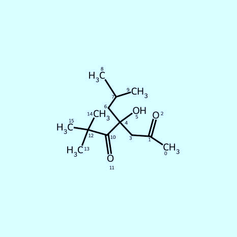 CC(=O)CC(O)(CC(C)C)C(=O)C(C)(C)C